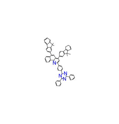 CC1(C)C2=C(CCC=C2)c2ccc(-c3cc(-c4ccc(-c5nc(-c6ccccc6)nc(-c6ccccc6)n5)cc4)nc4c3cc(-c3ccc5c(c3)C(C)(C)c3ccccc3-5)c3ccccc34)cc21